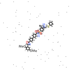 COc1ccc(OC)c(-c2coc(-c3ccc(-c4ccc(C(=O)NS(=O)(=O)c5ccc(NCCSc6ccccc6)c([N+](=O)[O-])c5)cc4)cc3)n2)c1